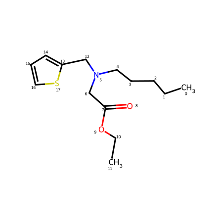 CCCCCN(CC(=O)OCC)Cc1cccs1